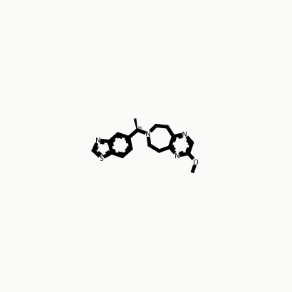 COc1cnc2c(n1)CCN([C@H](C)c1ccc3scnc3c1)CC2